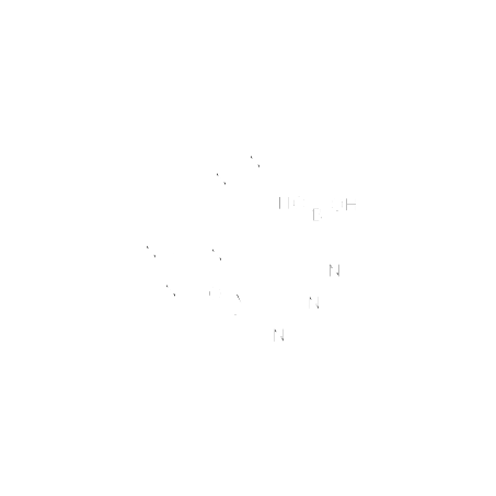 CN(C)c1ccc(-c2cc3nccnc3c(OC[C@@H]3CCCNC3)n2)cn1.CN(C)c1ccc(B(O)O)cn1